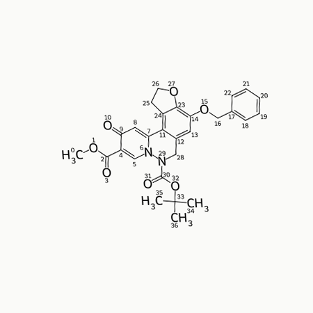 COC(=O)c1cn2c(cc1=O)-c1c(cc(OCc3ccccc3)c3c1CCO3)CN2C(=O)OC(C)(C)C